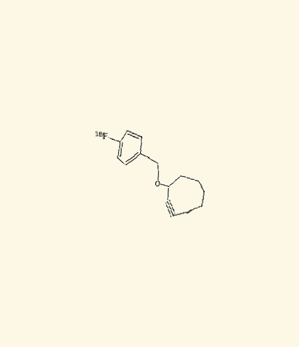 [18F]c1ccc(COC2C#CCCCCC2)cc1